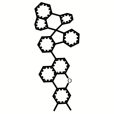 Cc1cc2c(cc1C)-c1cccc3c(-c4cccc5c4-c4ccccc4C54c5ccccc5-c5cccc6cccc4c56)ccc(c13)O2